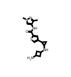 Cc1nn(C)cc1NC(=O)c1cc(C2CC2NC2CC(N)C2)cs1